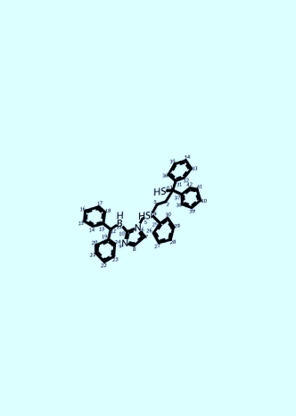 SC(CC[SiH](Cn1ccnc1BC(c1ccccc1)c1ccccc1)c1ccccc1)(c1ccccc1)c1ccccc1